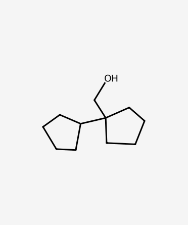 OCC1(C2CCCC2)CCCC1